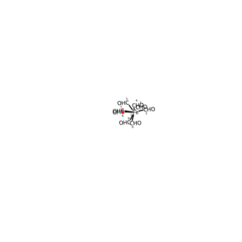 O=[CH][Fe]([CH]=O)([CH]=O)([CH]=O)([CH]=O)([CH]=O)([CH]=O)[CH]=O